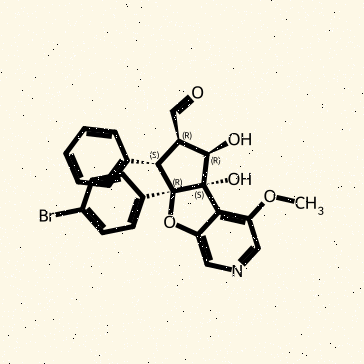 COc1cncc2c1[C@]1(O)[C@H](O)[C@H](C=O)[C@@H](c3ccccc3)[C@]1(c1ccc(Br)cc1)O2